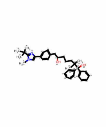 Cn1cc(-c2ccc(C[C@H](O)CCCC(C)(C)[Si](O)(c3ccccc3)c3ccccc3)cc2)nc1C(C)(C)C